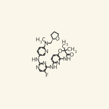 CN(C[C@H]1CCCO1)c1ccc(Nc2ncc(F)c(Nc3ccc4c(n3)NC(=O)C(C)(C)O4)n2)cn1